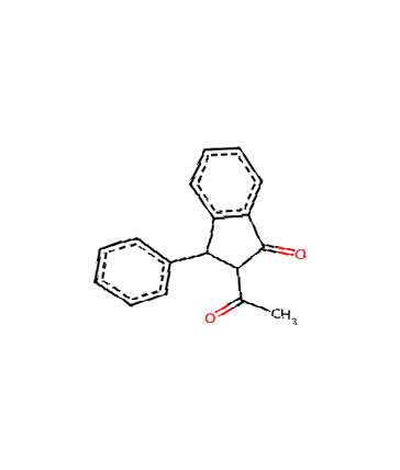 CC(=O)C1C(=O)c2ccccc2C1c1ccccc1